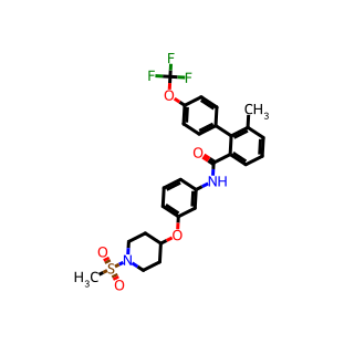 Cc1cccc(C(=O)Nc2cccc(OC3CCN(S(C)(=O)=O)CC3)c2)c1-c1ccc(OC(F)(F)F)cc1